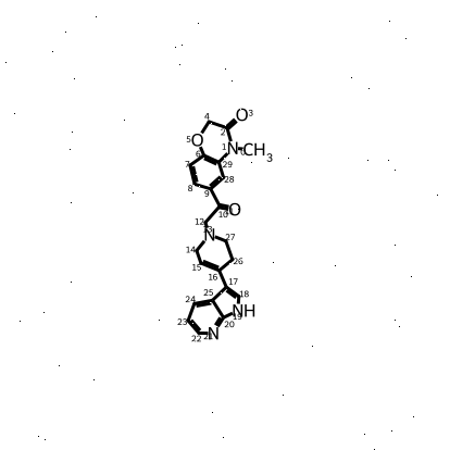 CN1C(=O)COc2ccc(C(=O)CN3CC=C(c4c[nH]c5ncccc45)CC3)cc21